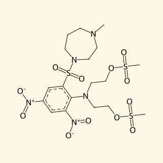 CN1CCCN(S(=O)(=O)c2cc([N+](=O)[O-])cc([N+](=O)[O-])c2N(CCOS(C)(=O)=O)CCOS(C)(=O)=O)CC1